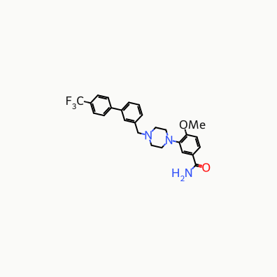 COc1ccc(C(N)=O)cc1N1CCN(Cc2cccc(-c3ccc(C(F)(F)F)cc3)c2)CC1